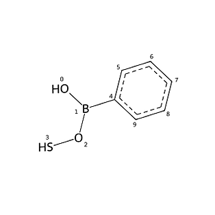 OB(OS)c1ccccc1